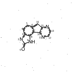 O=C1N=c2ccc3c(c2N1)-c1nccnc1C=3